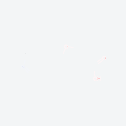 O=C(O)c1coc(-c2ccncc2)c1